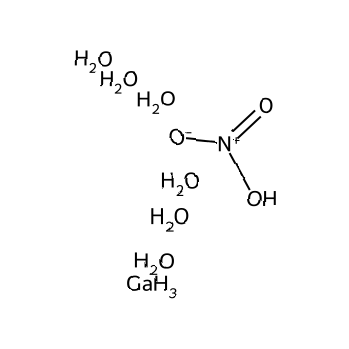 O.O.O.O.O.O.O=[N+]([O-])O.[GaH3]